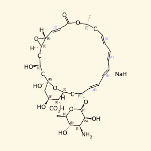 C[C@@H]1C/C=C/C=C/C=C/C=C/[C@H](O[C@@H]2O[C@H](C)[C@@H](O)[C@H](N)[C@@H]2O)C[C@@H]2O[C@](O)(C[C@@H](O)C[C@H]3O[C@@H]3/C=C/C(=O)O1)C[C@H](O)[C@H]2C(=O)O.[NaH]